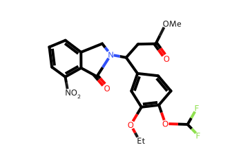 CCOc1cc(C(CC(=O)OC)N2Cc3cccc([N+](=O)[O-])c3C2=O)ccc1OC(F)F